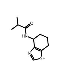 CC(C)C(=O)NC1CCCc2[nH]cnc21